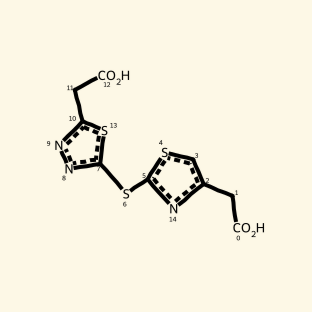 O=C(O)Cc1csc(Sc2nnc(CC(=O)O)s2)n1